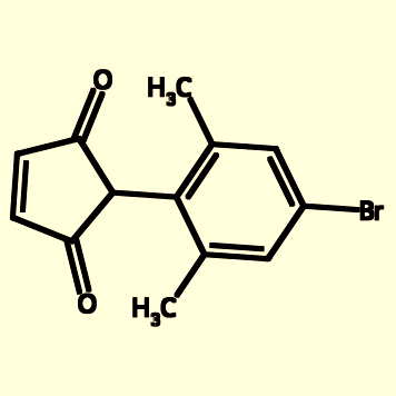 Cc1cc(Br)cc(C)c1C1C(=O)C=CC1=O